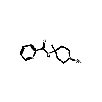 CC1(NC(=O)c2ccccn2)CCN(C(C)(C)C)CC1